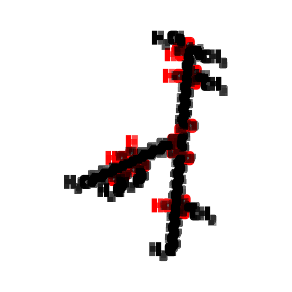 C=CC(=O)OC(CCC)C(O)CCC(OC(=O)C=C)C(O)CCCCCCCCC(=O)OCC(COC(=O)CCCCCCCC(OC(=O)C=C)C(O)CCCCCCCC)OC(=O)CCCCCC(OC(=O)C=C)C(O)CC(O)C(CCCCCCC)OC(=O)C=C